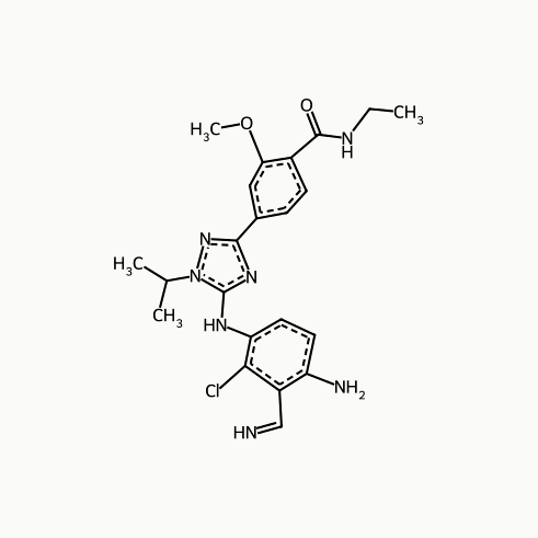 CCNC(=O)c1ccc(-c2nc(Nc3ccc(N)c(C=N)c3Cl)n(C(C)C)n2)cc1OC